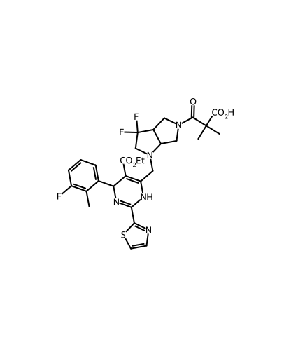 CCOC(=O)C1=C(CN2CC(F)(F)C3CN(C(=O)C(C)(C)C(=O)O)CC32)NC(c2nccs2)=NC1c1cccc(F)c1C